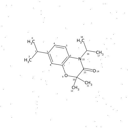 CC(C)c1ccc2c(c1)OC(C)(C)C(=O)N2C(C)C